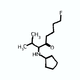 CC(C)C(NC1CCCC1)C(=O)CCCCF